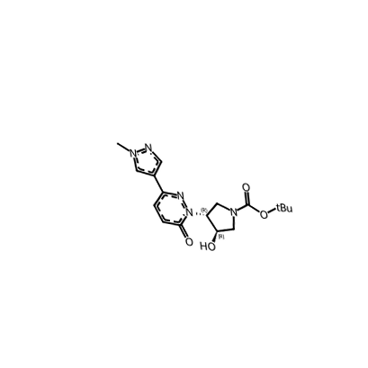 Cn1cc(-c2ccc(=O)n([C@@H]3CN(C(=O)OC(C)(C)C)C[C@H]3O)n2)cn1